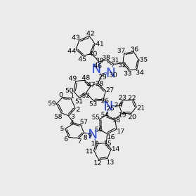 c1ccc(-c2cccc(-n3c4ccccc4c4cc5c6ccccc6n(-c6cc(-c7nc(-c8ccccc8)cc(-c8ccccc8)n7)c7ccccc7c6)c5cc43)c2)cc1